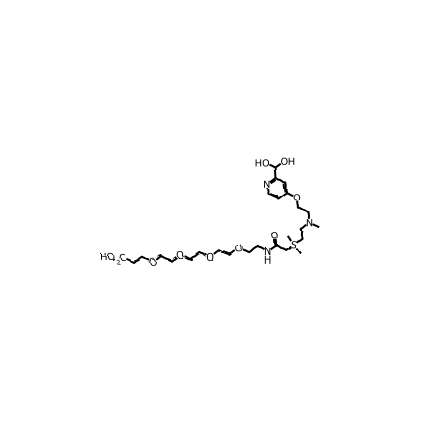 CN(CCOc1ccnc(C(O)O)c1)CCS(C)(C)CC(=O)NCCOCCOCCOCCOCCC(=O)O